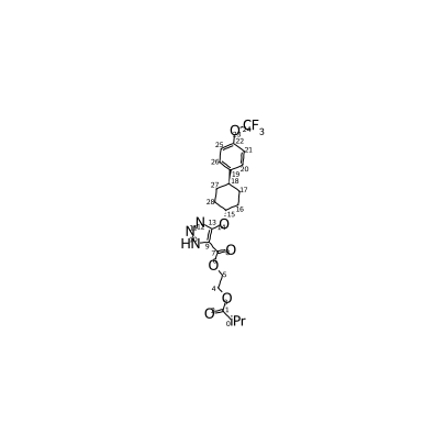 CC(C)C(=O)OCCOC(=O)c1[nH]nnc1O[C@H]1CC[C@H](c2ccc(OC(F)(F)F)cc2)CC1